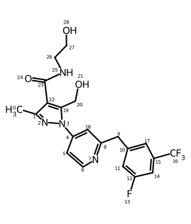 Cc1nn(-c2ccnc(Cc3cc(F)cc(C(F)(F)F)c3)c2)c(CO)c1C(=O)NCCO